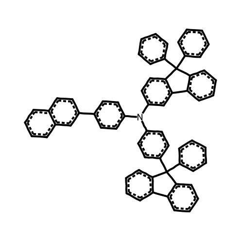 c1ccc(C2(c3ccc(N(c4ccc(-c5ccc6ccccc6c5)cc4)c4ccc5c(c4)-c4ccccc4C5(c4ccccc4)c4ccccc4)cc3)c3ccccc3-c3ccccc32)cc1